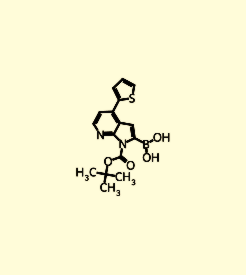 CC(C)(C)OC(=O)n1c(B(O)O)cc2c(-c3cccs3)ccnc21